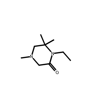 CCN1C(=O)CN(C)CC1(C)C